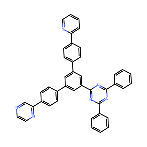 c1ccc(-c2nc(-c3ccccc3)nc(-c3cc(-c4ccc(-c5ccccn5)cc4)cc(-c4ccc(-c5cnccn5)cc4)c3)n2)cc1